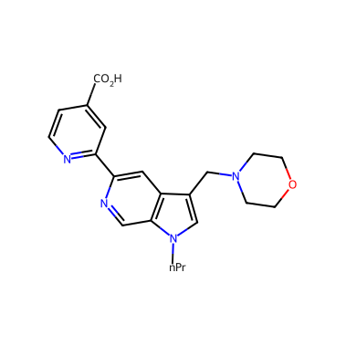 CCCn1cc(CN2CCOCC2)c2cc(-c3cc(C(=O)O)ccn3)ncc21